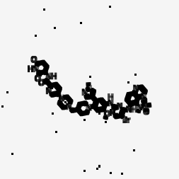 COc1cc(N2CCC(CN3CCN(c4ccc(C(=O)NC5CCC(=O)NC5=O)nc4)CC3)CC2)c(-c2cnn(C)c2)cc1Nc1ncc(Br)c(Nc2ccc3nccnc3c2N(C)S(C)(=O)=O)n1